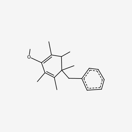 COC1=C(C)C(C)C(C)(Cc2ccccc2)C(C)=C1C